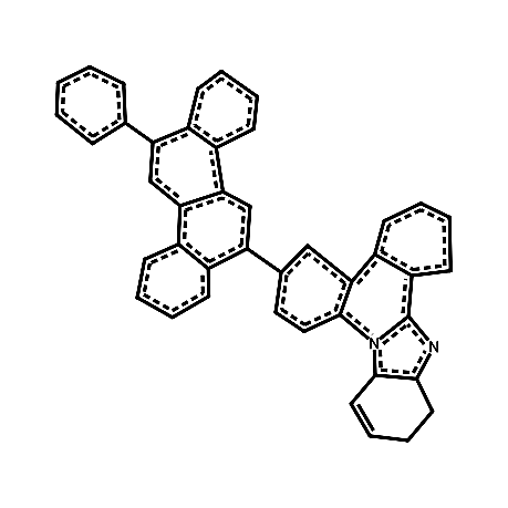 C1=Cc2c(nc3c4ccccc4c4cc(-c5cc6c7ccccc7c(-c7ccccc7)cc6c6ccccc56)ccc4n23)CC1